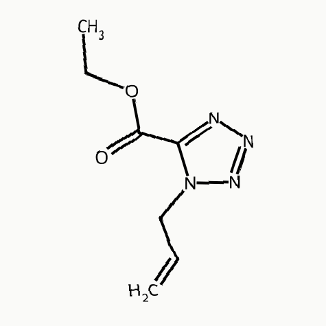 C=CCn1nnnc1C(=O)OCC